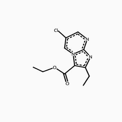 CCOC(=O)c1c(CC)nc2ncc(Cl)cn12